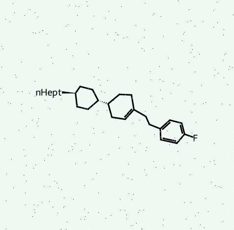 CCCCCCC[C@H]1CC[C@H](C2CC=C(CCc3ccc(F)cc3)CC2)CC1